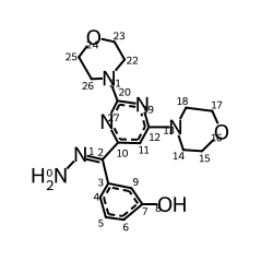 N/N=C(\c1cccc(O)c1)c1cc(N2CCOCC2)nc(N2CCOCC2)n1